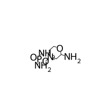 NC1CN(OP(N)(N)=O)CCO1